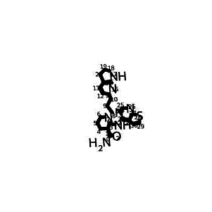 NC(=O)C1CCCN(CCCc2ccc3c(n2)NCCC3)C1Nc1ncnc2sccc12